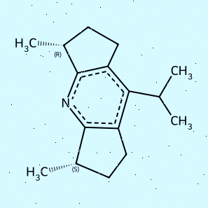 CC(C)c1c2c(nc3c1CC[C@@H]3C)[C@H](C)CC2